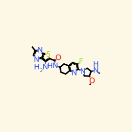 CNC1CN(c2nc3c(cc2F)CC(NC(=O)c2sc4nc(C)cnc4c2N)CC3)CC1OC